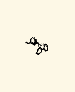 CCc1cncc(Nc2ccccc2-c2ccccc2)c1